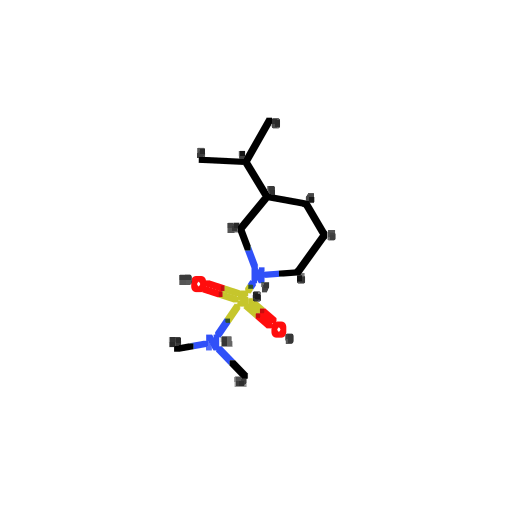 CC(C)C1CCCN(S(=O)(=O)N(C)C)C1